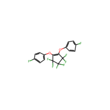 Fc1ccc(OC2=C(Oc3ccc(F)cc3)C(F)(F)C(F)(F)C2(F)F)cc1